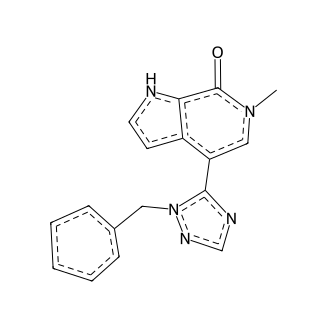 Cn1cc(-c2ncnn2Cc2ccccc2)c2cc[nH]c2c1=O